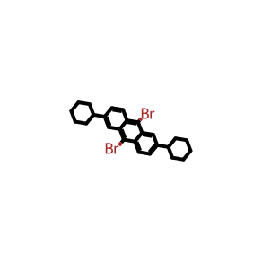 Brc1c2ccc(C3CCCCC3)cc2c(Br)c2ccc(C3CCCCC3)cc12